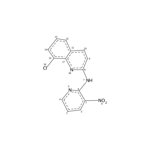 O=[N+]([O-])c1cccnc1Nc1ccc2cccc(Cl)c2n1